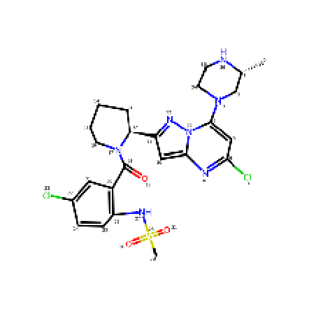 C[C@@H]1CN(c2cc(Cl)nc3cc([C@@H]4CCCCN4C(=O)c4cc(Cl)ccc4NS(C)(=O)=O)nn23)CCN1